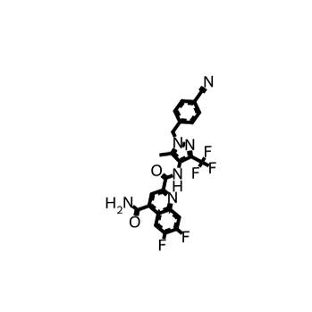 Cc1c(NC(=O)c2cc(C(N)=O)c3cc(F)c(F)cc3n2)c(C(F)(F)F)nn1Cc1ccc(C#N)cc1